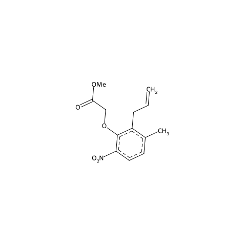 C=CCc1c(C)ccc([N+](=O)[O-])c1OCC(=O)OC